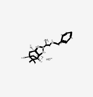 CC1(C)[C@@H]2C[C@H]3OB([C@@H](N)COCc4ccccc4)O[C@@]3(C)[C@H]1C2.Cl